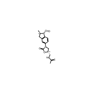 CC(=S)NC[C@H]1CN(c2ccc3c(c2)C[C@@H](C)N3C=O)C(=O)O1